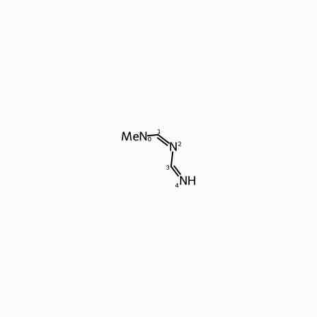 CN/C=N\C=N